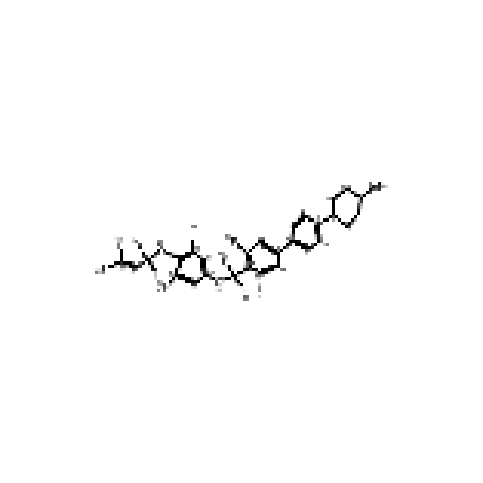 CCCC1CCC(c2ccc(-c3cc(F)c(C(F)(F)Oc4cc(F)c(OC(F)(F)C=C(F)F)c(F)c4)c(F)c3)cc2)CC1